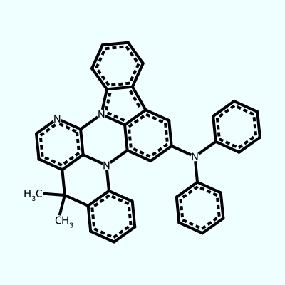 CC1(C)c2ccccc2N2c3c1ccnc3-n1c3ccccc3c3cc(N(c4ccccc4)c4ccccc4)cc2c31